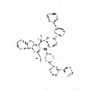 CC1(C)c2cc(-c3cccc(-c4ccccc4)c3)ccc2N2c3ccc(-c4cccc(-c5ccccc5)c4)cc3C(C)(C)c3c2c1cc1c3sc2ccccc21